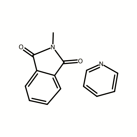 CN1C(=O)c2ccccc2C1=O.c1ccncc1